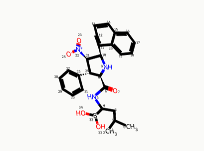 CC(C)CC(NC(=O)[C@@H]1N[C@H](c2cccc3ccccc23)[C@H]([N+](=O)[O-])[C@H]1c1ccccc1)B(O)O